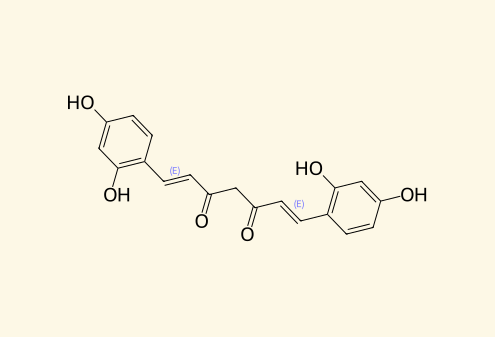 O=C(/C=C/c1ccc(O)cc1O)CC(=O)/C=C/c1ccc(O)cc1O